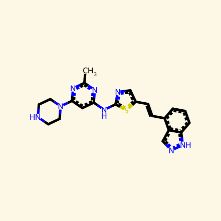 Cc1nc(Nc2ncc(/C=C/c3cccc4[nH]ncc34)s2)cc(N2CCNCC2)n1